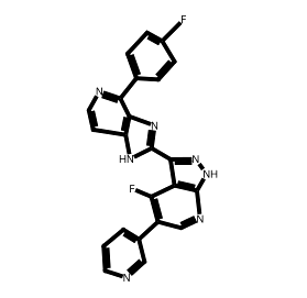 Fc1ccc(-c2nccc3[nH]c(-c4n[nH]c5ncc(-c6cccnc6)c(F)c45)nc23)cc1